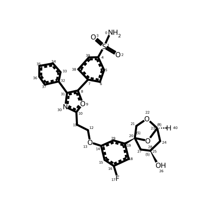 NS(=O)(=O)c1ccc(-c2oc(CCOc3cc(F)cc([C@]45CO[C@@H](C[C@@H](O)C4)O5)c3)nc2-c2ccccc2)cc1